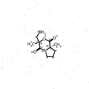 BC[C@]1(C)OC(=O)[C@@]2(C)CCCN2C1=O